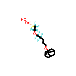 OOOSC(F)(F)C(F)(F)OC(F)(F)C(F)(F)CCCOC12CC3CC(CC(C3)C1)C2